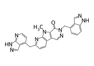 Cn1c2nc(Cc3ccnc4[nH]ncc34)ccc2c2cnn(Cc3cccc4[nH]ncc34)c(=O)c21